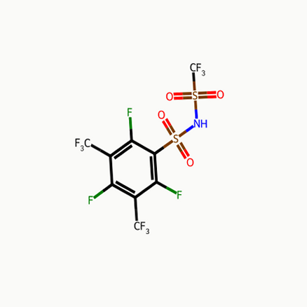 O=S(=O)(NS(=O)(=O)C(F)(F)F)c1c(F)c(C(F)(F)F)c(F)c(C(F)(F)F)c1F